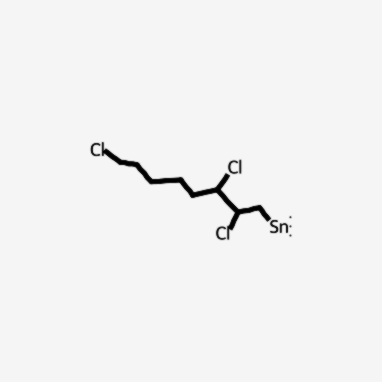 ClCCCCCC(Cl)C(Cl)[CH2][Sn]